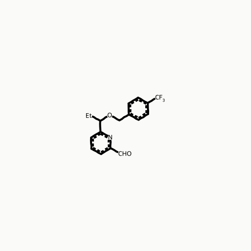 CCC(OCc1ccc(C(F)(F)F)cc1)c1cccc(C=O)n1